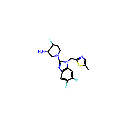 Cc1cnc(Cn2c(N3CCC(F)[C@H](N)C3)nc3cc(F)c(F)cc32)s1